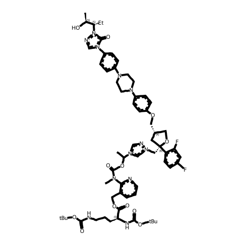 CC[C@@H]([C@H](C)O)n1ncn(-c2ccc(N3CCN(c4ccc(OC[C@@H]5CO[C@@](Cn6c[n+](C(C)OC(=O)N(C)c7ncccc7COC(=O)[C@H](CCCNC(=O)OC(C)(C)C)NC(=O)OC(C)(C)C)cn6)(c6ccc(F)cc6F)C5)cc4)CC3)cc2)c1=O